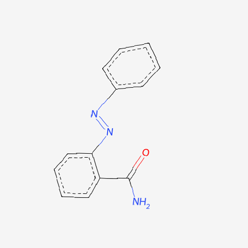 NC(=O)c1ccccc1/N=N/c1ccccc1